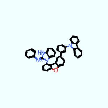 c1ccc(/N=c2\[nH]c3ccccc3n2-c2cccc3oc4ccc(-c5cccc(-n6c7ccccc7c7ccccc76)c5)cc4c23)cc1